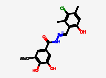 COc1cc(C(=O)N/N=C/c2c(O)cc(C)c(Cl)c2C)cc(O)c1O